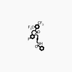 O=C(NCC#CCN1C(=O)C(c2ccc(C(F)(F)F)cc2C(F)(F)F)CCc2cc(F)ccc21)c1ccccc1